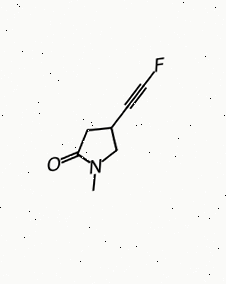 CN1CC(C#CF)CC1=O